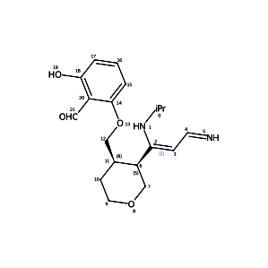 CC(C)N/C(=C\C=N)[C@H]1COCC[C@H]1COc1cccc(O)c1C=O